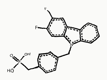 O=P(O)(O)Cc1ccc(Cn2c3ccccc3c3cc(F)c(F)cc32)cc1